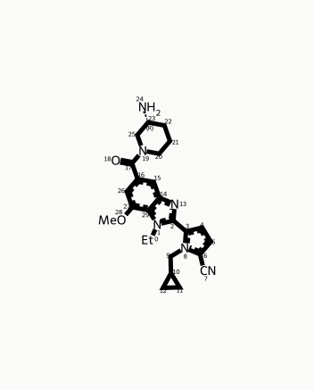 CCn1c(-c2ccc(C#N)n2CC2CC2)nc2cc(C(=O)N3CCC[C@@H](N)C3)cc(OC)c21